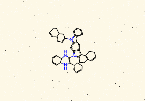 C1=CCCC(C2=C(n3c4c(c5cc6c7ccccc7n(C7=CC=C8C=CCCC8C7)c6cc53)C3=C(C=CCC3)CC4)NC3C=CC=CC3N2)=C1